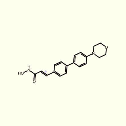 O=C(/C=C/c1ccc(-c2ccc(N3CCOCC3)cc2)cc1)NO